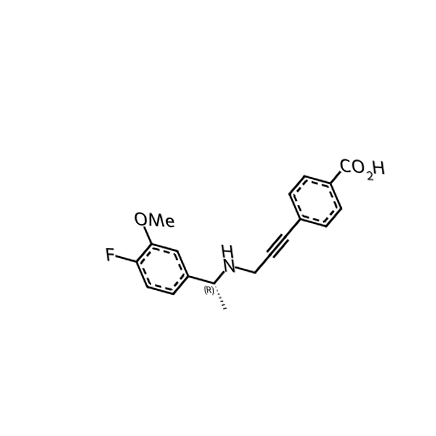 COc1cc([C@@H](C)NCC#Cc2ccc(C(=O)O)cc2)ccc1F